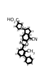 Cc1c(-c2ccccc2)cccc1-c1nc2cc3c(c(C#N)c2o1)CCC3N1CCC(C(=O)O)C1